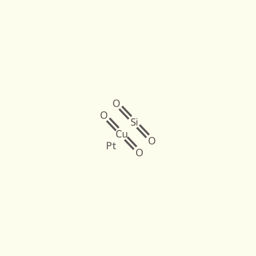 O=[Si]=O.[O]=[Cu]=[O].[Pt]